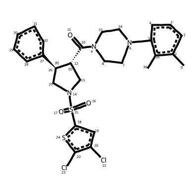 Cc1cccc(N2CCN(C(=O)[C@@H]3CN(S(=O)(=O)c4cc(Cl)c(Cl)s4)C[C@H]3c3ccccc3)CC2)c1C